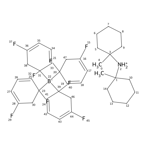 CC1([NH2+]C2(C)CCCCC2)CCCCC1.FC1=CC=CC(F)([B-](C2(F)C=CC=C(F)C2)(C2(F)C=CC=C(F)C2)C2(F)C=CC=C(F)C2)C1